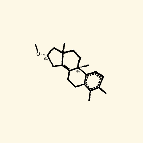 CO[C@H]1CC2=C3CCc4c(ccc(C)c4C)[C@@]3(C)CCC2(C)C1